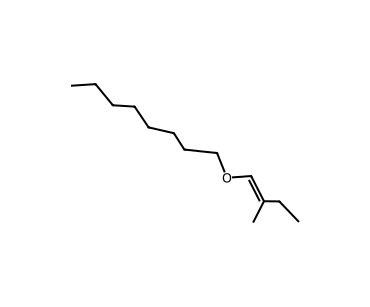 CCCCCCCCO/C=C(\C)CC